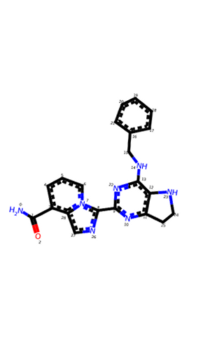 NC(=O)c1cccn2c(-c3nc4c(c(NCc5ccccc5)n3)NCC4)ncc12